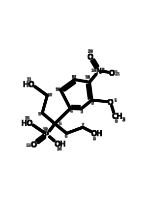 COc1cc(C(CCO)(CCO)P(=O)(O)O)ccc1[N+](=O)[O-]